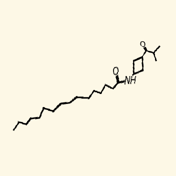 CCCCCCCCCCCCCCCC(=O)N[C@H]1C[C@@H](C(=O)C(C)C)C1